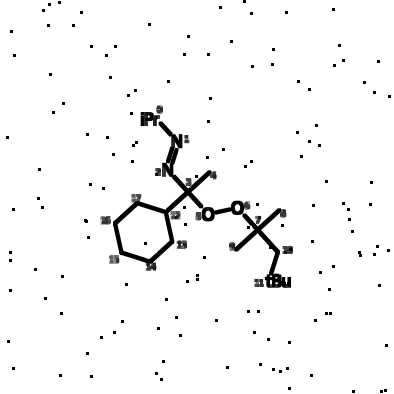 CC(C)/N=N/C(C)(OOC(C)(C)CC(C)(C)C)C1CCCCC1